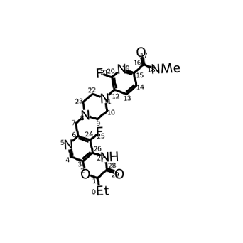 CCC1Oc2cnc(CN3CCN(c4ccc(C(=O)NC)nc4F)CC3)c(F)c2NC1=O